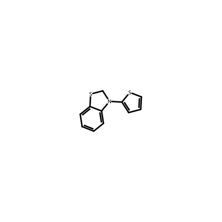 c1csc(N2CSc3ccccc32)c1